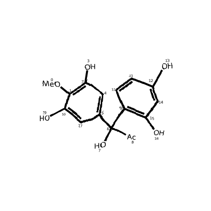 COc1c(O)cc(C(O)(C(C)=O)c2ccc(O)cc2O)cc1O